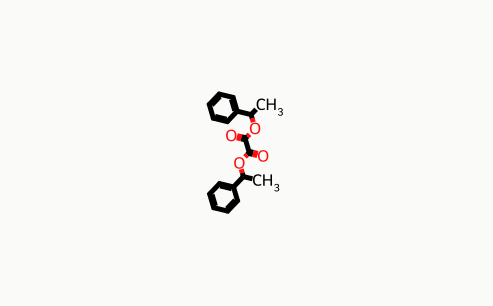 CC(OC(=O)C(=O)OC(C)c1ccccc1)c1ccccc1